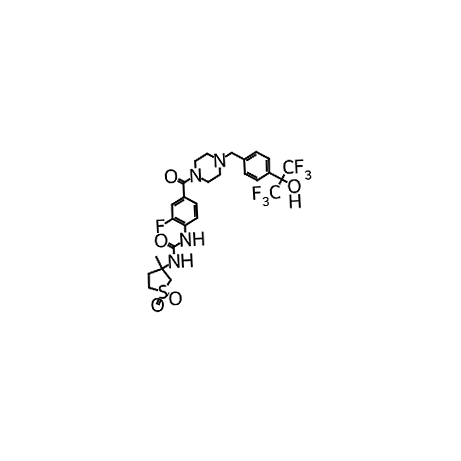 CC1(NC(=O)Nc2ccc(C(=O)N3CCN(Cc4ccc(C(O)(C(F)(F)F)C(F)(F)F)cc4)CC3)cc2F)CCS(=O)(=O)C1